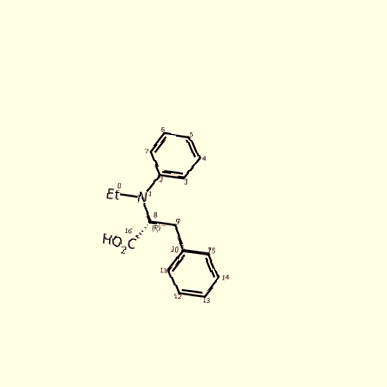 CCN(c1ccccc1)[C@H](Cc1ccccc1)C(=O)O